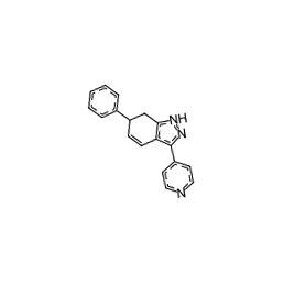 C1=CC(c2ccccc2)Cc2[nH]nc(-c3ccncc3)c21